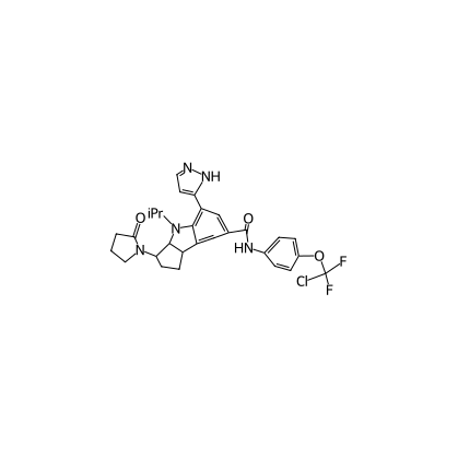 CC(C)N1c2c(-c3ccn[nH]3)cc(C(=O)Nc3ccc(OC(F)(F)Cl)cc3)cc2C2CCC(N3CCCC3=O)C21